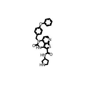 O=C(NC1CCNC1)c1sc2nccc3c2c1NC(=O)N3Cc1ccc(Oc2ccccc2)cc1